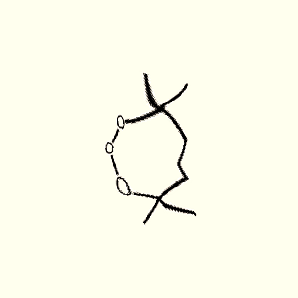 CC1(C)CCC(C)(C)OOO1